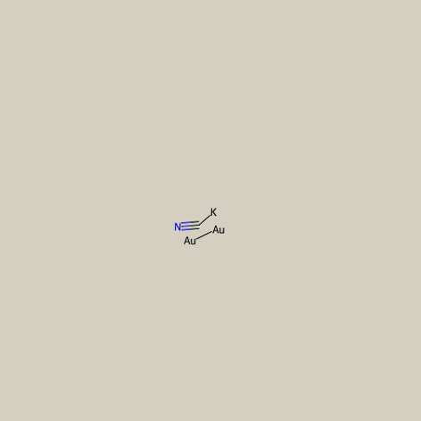 N#[C][K].[Au][Au]